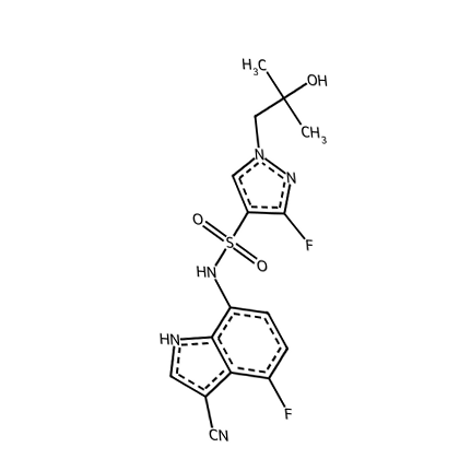 CC(C)(O)Cn1cc(S(=O)(=O)Nc2ccc(F)c3c(C#N)c[nH]c23)c(F)n1